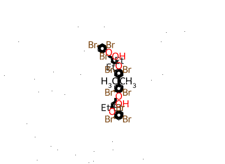 CCC(CC)(CC(O)COc1c(Br)cc(C(C)(C)c2cc(Br)c(OC(CC)(CC)CC(O)COc3c(Br)cc(Br)cc3Br)c(Br)c2)cc1Br)Oc1c(Br)cc(Br)cc1Br